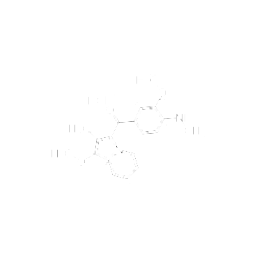 CNc1ccc(C(=O)c2c(C)c(OC)c3ccccn23)cc1OC.Cl